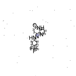 O=C1CC/C(=N\Nc2ccc(C(F)(F)F)cc2)c2ncccc2N1